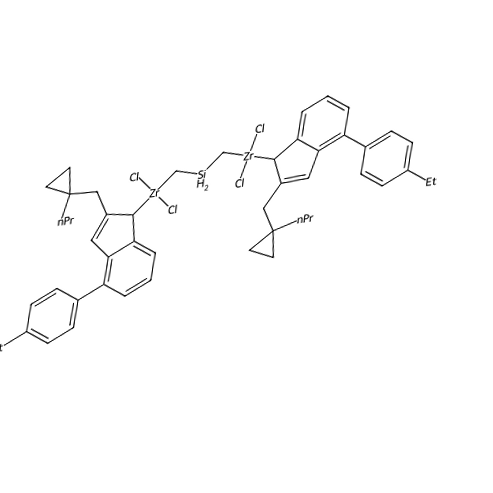 CCCC1(CC2=Cc3c(-c4ccc(CC)cc4)cccc3[CH]2[Zr]([Cl])([Cl])[CH2][SiH2][CH2][Zr]([Cl])([Cl])[CH]2C(CC3(CCC)CC3)=Cc3c(-c4ccc(CC)cc4)cccc32)CC1